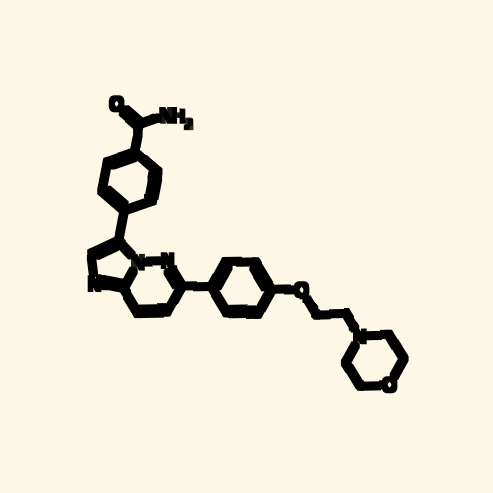 NC(=O)c1ccc(-c2cnc3ccc(-c4ccc(OCCN5CCOCC5)cc4)nn23)cc1